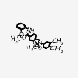 COc1ccccc1NC(=O)c1ccc(CN(c2ccc(C)c(C)c2)S(C)(=O)=O)cc1